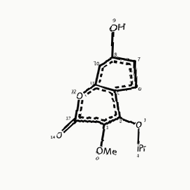 COc1c(OC(C)C)c2ccc(O)cc2oc1=O